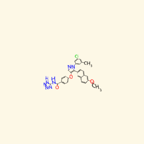 COc1ccc2cc(-c3c(Oc4ccc(C(=O)Nc5nnn[nH]5)cc4)cnn3-c3cc(C)cc(Cl)c3)ccc2c1